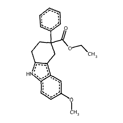 CCOC(=O)C1(c2ccccc2)CCc2[nH]c3ccc(OC)cc3c2C1